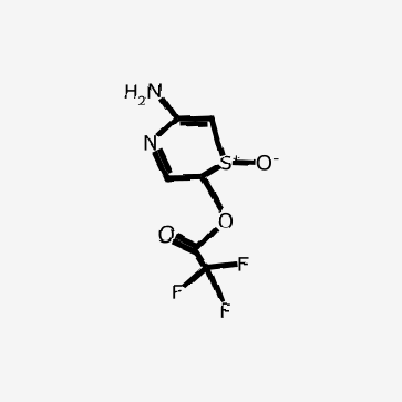 NC1=C[S+]([O-])C(OC(=O)C(F)(F)F)C=N1